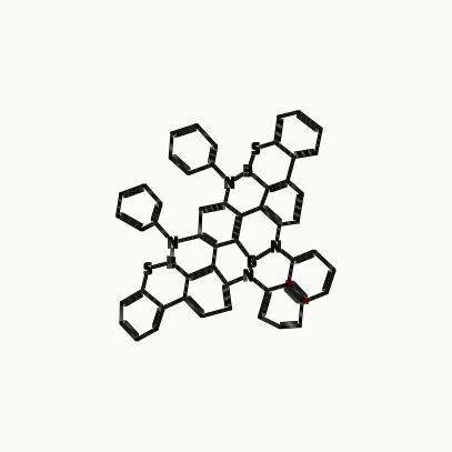 c1ccc(N2B3c4c5c(cc6c4-c4c(ccc7c4B(Sc4ccccc4-7)N6c4ccccc4)N3c3ccccc3)N(c3ccccc3)B3Sc4ccccc4-c4ccc2c-5c43)cc1